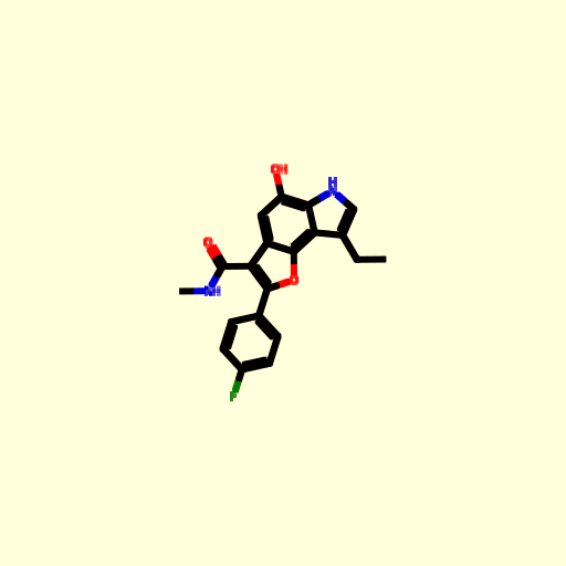 CCc1c[nH]c2c(O)cc3c(C(=O)NC)c(-c4ccc(F)cc4)oc3c12